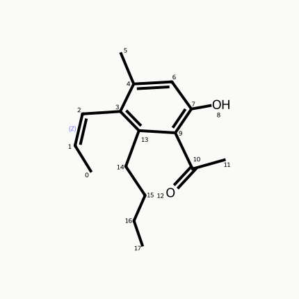 C/C=C\c1c(C)cc(O)c(C(C)=O)c1CCCC